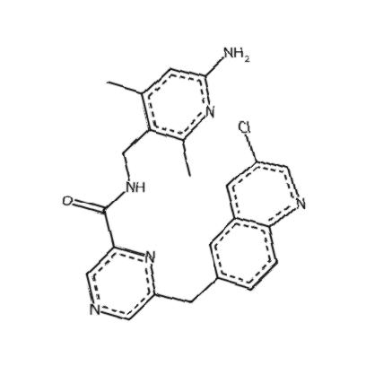 Cc1cc(N)nc(C)c1CNC(=O)c1cncc(Cc2ccc3ncc(Cl)cc3c2)n1